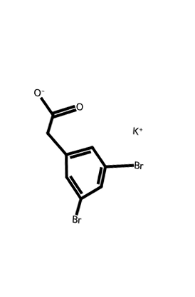 O=C([O-])Cc1cc(Br)cc(Br)c1.[K+]